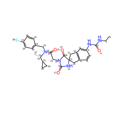 CCNC(=O)Nc1ccc2c(c1)CC1(C2)NC(=O)N(CC(=O)N(Cc2ccc(F)cc2)[C@@H](C)C2CC2)C1=O